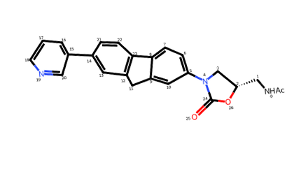 CC(=O)NC[C@H]1CN(c2ccc3c(c2)Cc2cc(-c4cccnc4)ccc2-3)C(=O)O1